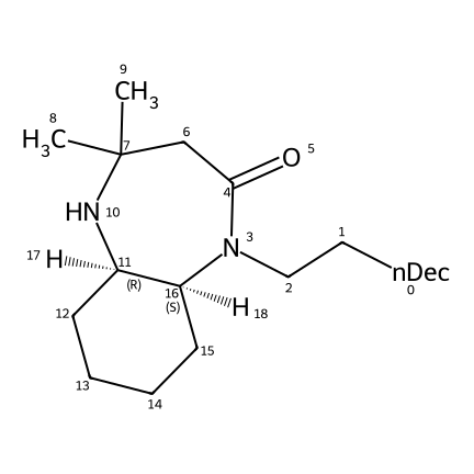 CCCCCCCCCCCCN1C(=O)CC(C)(C)N[C@@H]2CCCC[C@@H]21